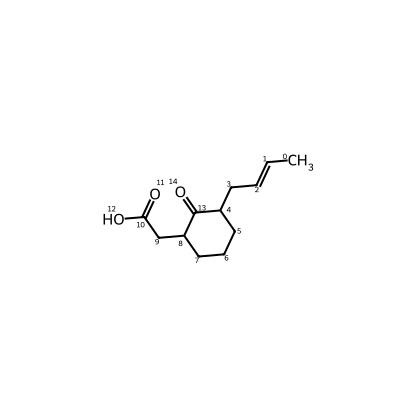 C/C=C/CC1CCCC(CC(=O)O)C1=O